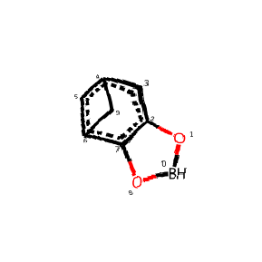 B1Oc2cc3cc(c2O1)C3